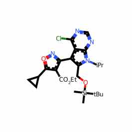 CCOC(=O)c1c(-c2c(CO[Si](C)(C)C(C)(C)C)n(C(C)C)c3ncnc(Cl)c23)noc1C1CC1